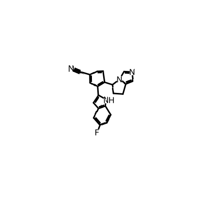 N#Cc1ccc(C2CCc3cncn32)c(-c2cc3cc(F)ccc3[nH]2)c1